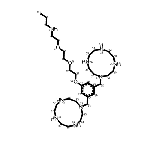 ICCNCCOCCOCCOc1cc(CN2CCNCCNCCNCC2)cc(CN2CCNCCNCCNCC2)c1